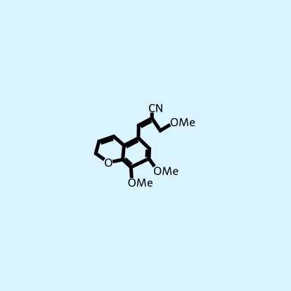 COCC(C#N)=Cc1cc(OC)c(OC)c2c1C=CCO2